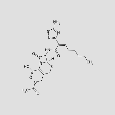 CCCCC/C=C(\C(=O)NC1C(=O)N2C(C(=O)O)=C(COC(C)=O)CS[C@H]12)c1nsc(N)n1